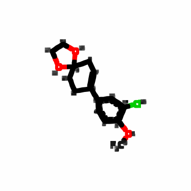 FC(F)(F)Oc1ccc(C2=CCC3(CC2)OCCO3)cc1Cl